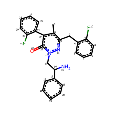 Cc1c(Cc2ccccc2F)nn(CC(N)c2ccccc2)c(=O)c1-c1ccccc1F